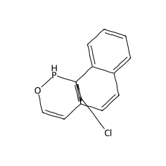 ClC1C=CCC23POC=CC12C=Cc1ccccc13